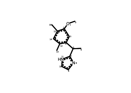 COc1cc(C(C)c2ncc[nH]2)c(C)cc1C